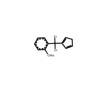 CCC(CC)(C1=CCC=C1)c1ccccc1OC